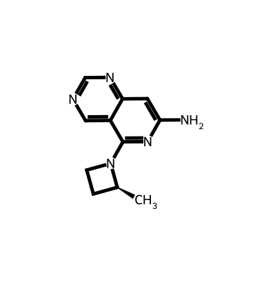 C[C@H]1CCN1c1nc(N)cc2ncncc12